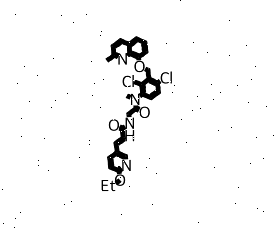 CCOc1ccc(C=CC(=O)NCC(=O)N(C)c2ccc(Cl)c(COc3cccc4ccc(C)nc34)c2Cl)cn1